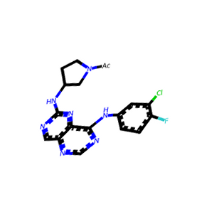 CC(=O)N1CCC(Nc2ncc3ncnc(Nc4ccc(F)c(Cl)c4)c3n2)C1